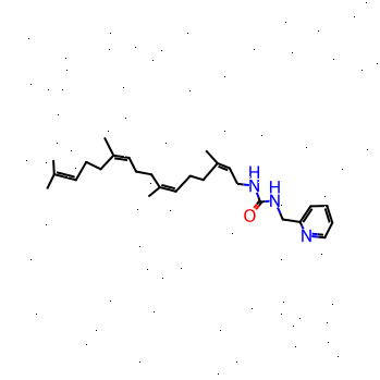 CC(C)=CCCC(C)=CCCC(C)=CCCC(C)=CCNC(=O)NCc1ccccn1